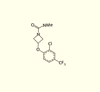 CNC(=O)N1CC(Oc2ccc(C(F)(F)F)cc2Cl)C1